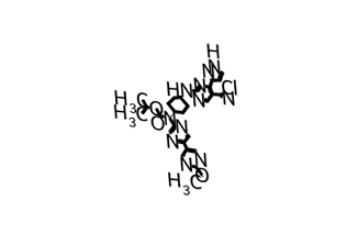 COc1ncc(-c2cnc(N(C(=O)OC(C)C)[C@H]3CC[C@H](Nc4ncc(C#N)c(-c5n[nH]cc5Cl)n4)CC3)cn2)cn1